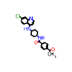 CC(=O)c1ccc(C(=O)NC2CCC(Nc3ccnc4cc(Cl)ccc34)CC2)cc1